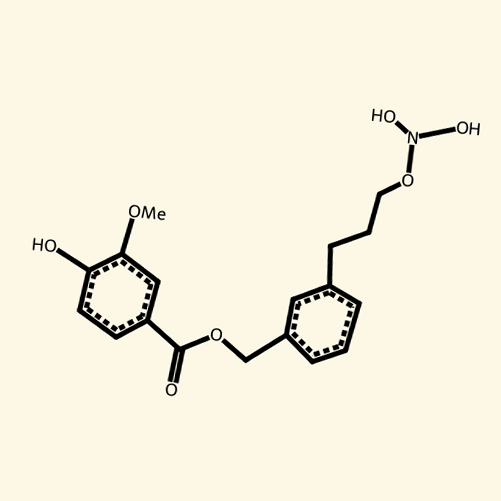 COc1cc(C(=O)OCc2cccc(CCCON(O)O)c2)ccc1O